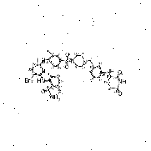 Cc1cc(S(=O)(=O)N2CCN(Cc3cccc(NC4CCC(=O)NC4=O)c3)CC2)ccc1Nc1ncc(Br)c(Nc2cccc(F)c2C(N)=O)n1